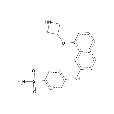 NS(=O)(=O)c1ccc(Nc2ncc3cccc(OC4CNC4)c3n2)cc1